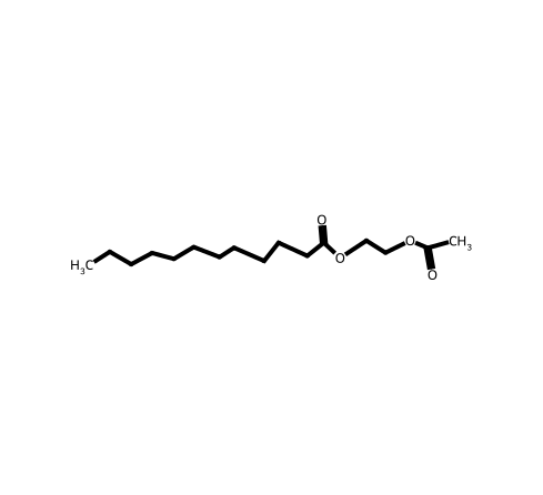 CCCCCCCCCCCC(=O)OCCOC(C)=O